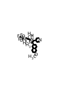 COc1ccc2cc(-c3nc(C(C)(C)CNS(=O)(=O)C(F)(F)F)[nH]c3-c3ccncc3)ccc2c1